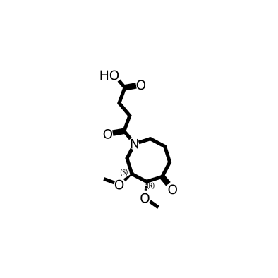 CO[C@H]1CN(C(=O)CCC(=O)O)CCCC(=O)[C@@H]1OC